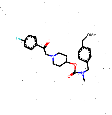 COCc1ccc(CN(C)C(=O)OC2CCN(CC(=O)c3ccc(F)cc3)CC2)cc1